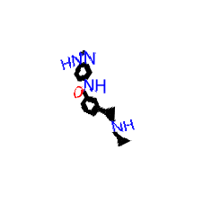 O=C(Nc1ccc2[nH]cnc2c1)c1cccc(C2CC2NCC2CC2)c1